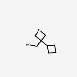 OCC1(C2CCC2)COC1